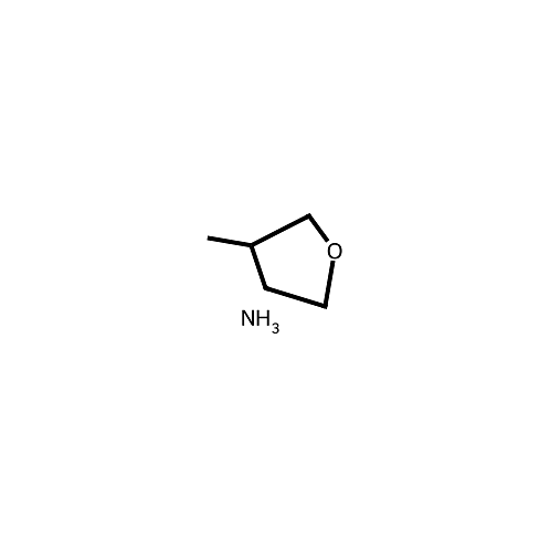 CC1CCOC1.N